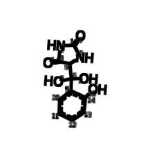 O=C1NC(=O)C(C(O)(O)c2ccccc2O)N1